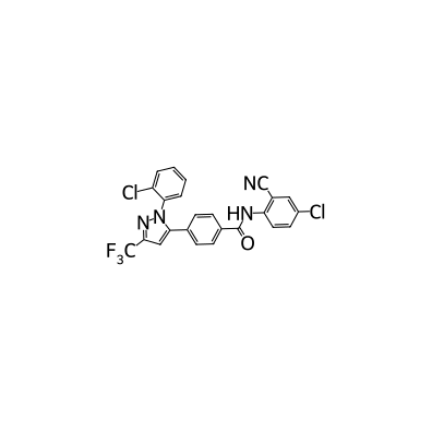 N#Cc1cc(Cl)ccc1NC(=O)c1ccc(-c2cc(C(F)(F)F)nn2-c2ccccc2Cl)cc1